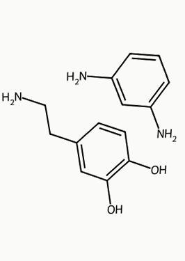 NCCc1ccc(O)c(O)c1.Nc1cccc(N)c1